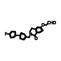 O=CCOc1ccc2c(c1)CCN(Cc1ccc(-c3ccc(F)cc3)cc1)C2=O